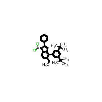 CCc1ccc2c(c1-c1cc(C(C)(C)C)cc(C(C)(C)C)c1)C=C(c1ccccc1)[CH]2[Zr]([Cl])[Cl]